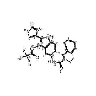 CC[As](Cc1ccccc1)C(=O)Nc1ccc2[nH]c(-c3cscn3)[n+](OC(=O)C(F)(F)F)c2c1